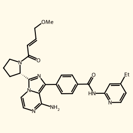 CCc1ccnc(NC(=O)c2ccc(-c3nc([C@@H]4CCCN4C(=O)C=CCOC)n4ccnc(N)c34)cc2)c1